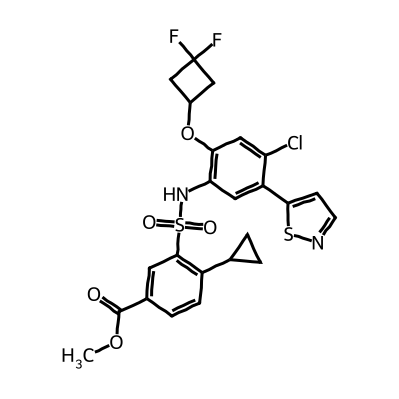 COC(=O)c1ccc(C2CC2)c(S(=O)(=O)Nc2cc(-c3ccns3)c(Cl)cc2OC2CC(F)(F)C2)c1